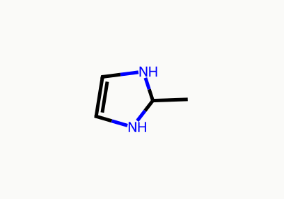 CC1NC=CN1